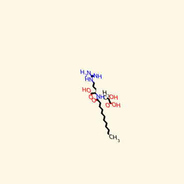 CC(O)C(=O)O.CCCCCCCCCCCC(=O)N[C@@H](CCCNC(=N)N)C(=O)O